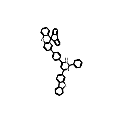 C1=C(c2ccc(-c3ccc4c(c3)C3(c5ccccc5O4)c4ccccc4-c4ccccc43)cc2)NC(c2ccccc2)N=C1c1ccc2c(c1)sc1ccccc12